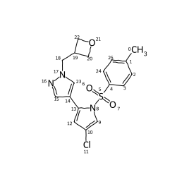 Cc1ccc(S(=O)(=O)n2cc(Cl)cc2-c2cnn(CC3COC3)c2)cc1